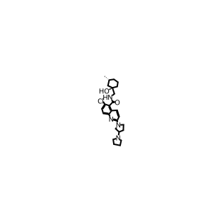 C[C@@H]1CCC[C@](O)(CNC(=O)c2c(Cl)ccc3nc(N4CCC(N5CCCC5)C4)ccc23)C1